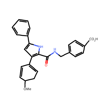 COC1C=CC(c2cc(-c3ccccc3)[nH]c2C(=O)NCc2ccc(C(=O)O)cc2)=CC1